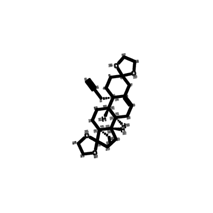 C#CC[C@]12CCC3(CC1=CC[C@@H]1[C@@H]2CC[C@@]2(CC)[C@H]1CCC21OCCO1)OCCO3